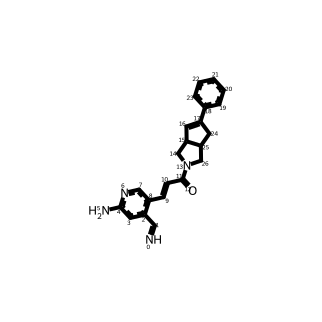 N=Cc1cc(N)ncc1/C=C/C(=O)N1CC2C=C(c3ccccc3)CC2C1